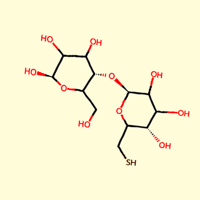 OCC1O[C@@H](O)C(O)C(O)[C@@H]1O[C@@H]1OC(CS)[C@@H](O)C(O)C1O